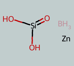 B.O=[Si](O)O.[Zn]